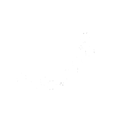 Cc1cccc(C2CCC3c4ccc(N(C)C5CCC6C(CC7CC(c8cccc9c8oc8ccccc89)CCC76)C5)cc4C(C)(C)C3C2)c1